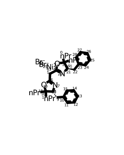 CCCC1(CCC)OC(CC2=N[C@H](Cc3ccccc3)C(CCC)(CCC)O2)=N[C@@H]1Cc1ccccc1.[Br-].[Br-].[Ni+2]